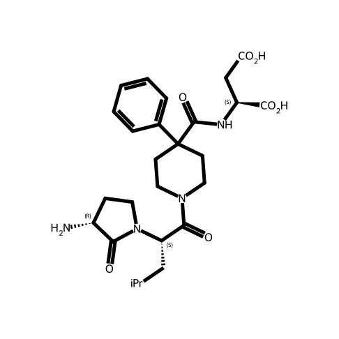 CC(C)C[C@@H](C(=O)N1CCC(C(=O)N[C@@H](CC(=O)O)C(=O)O)(c2ccccc2)CC1)N1CC[C@@H](N)C1=O